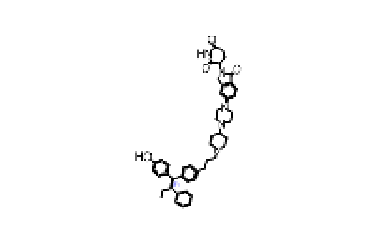 CC/C(=C(\c1ccc(O)cc1)c1ccc(CCCN2CCC(N3CCN(c4ccc5c(c4)CN(C4CCC(=O)NC4=O)C5=O)CC3)CC2)cc1)c1ccccc1